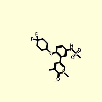 Cc1cc(-c2cc(NS(C)(=O)=O)ccc2OC2CCC(F)(F)CC2)cn(C)c1=O